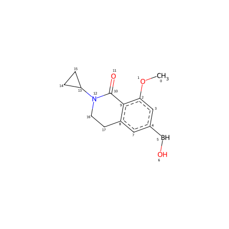 COc1cc(BO)cc2c1C(=O)N(C1CC1)CC2